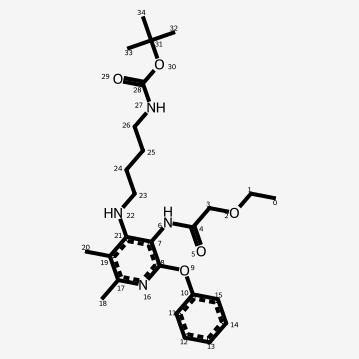 CCOCC(=O)Nc1c(Oc2ccccc2)nc(C)c(C)c1NCCCCNC(=O)OC(C)(C)C